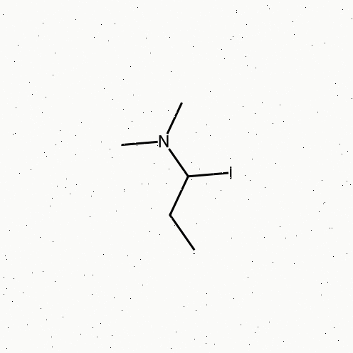 CCC(I)N(C)C